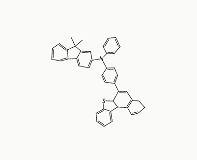 CC1(C)c2ccccc2-c2ccc(N(c3ccccc3)c3ccc(C4=CC5=C(C=CCC5)C5c6ccccc6SC45)cc3)cc21